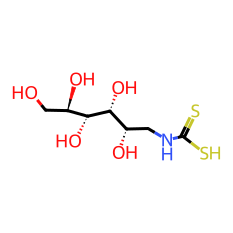 OC[C@@H](O)[C@@H](O)[C@H](O)[C@@H](O)CNC(=S)S